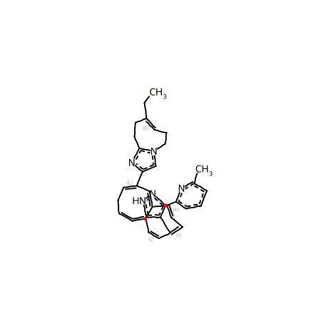 CC/C1=C\CCn2cc(C3=C\CC=C=C4\C=C/C(c5c[nH]nc5-c5cccc(C)n5)=C/C=C/C4=C/3)nc2CC1